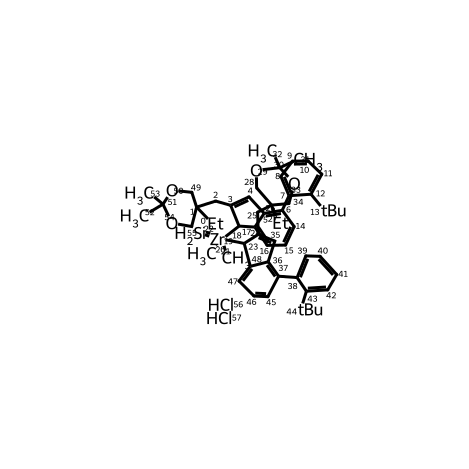 CCC1(CC2=Cc3c(-c4ccccc4C(C)(C)C)cccc3[CH]2[Zr]([CH3])([CH3])(=[SiH2])[CH]2C(CC3(CC)COC(C)(C)OC3)=Cc3c(-c4ccccc4C(C)(C)C)cccc32)COC(C)(C)OC1.Cl.Cl